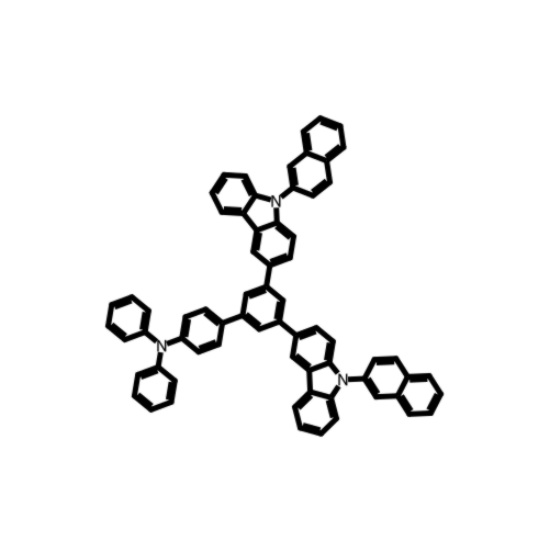 c1ccc(N(c2ccccc2)c2ccc(-c3cc(-c4ccc5c(c4)c4ccccc4n5-c4ccc5ccccc5c4)cc(-c4ccc5c(c4)c4ccccc4n5-c4ccc5ccccc5c4)c3)cc2)cc1